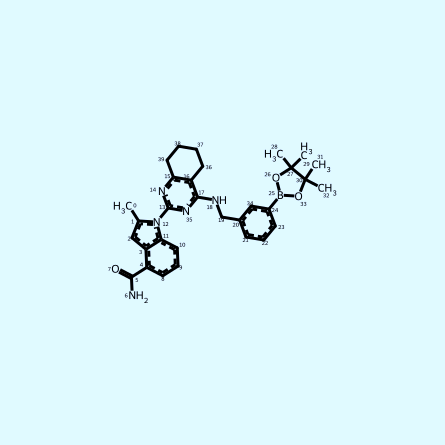 Cc1cc2c(C(N)=O)cccc2n1-c1nc2c(c(NCc3cccc(B4OC(C)(C)C(C)(C)O4)c3)n1)CCCC2